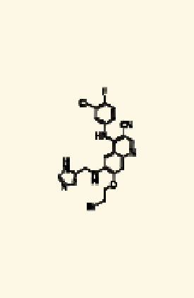 N#Cc1cnc2cc(OCCBr)c(NCc3cnc[nH]3)cc2c1Nc1ccc(F)c(Cl)c1